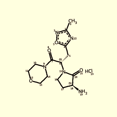 Cc1noc(C[C@@H](C(=O)N2CCOCC2)N2CC[C@H](N)C2=O)n1.Cl